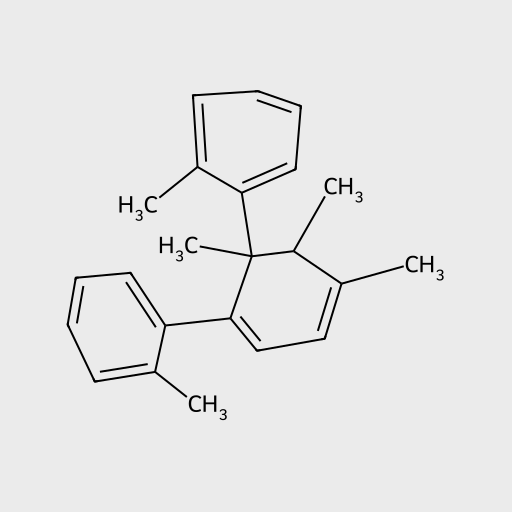 CC1=CC=C(c2ccccc2C)C(C)(c2ccccc2C)C1C